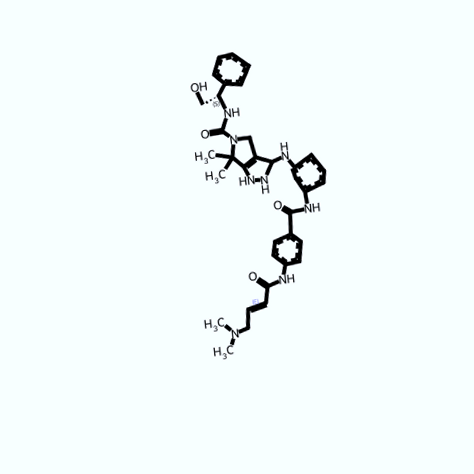 CN(C)C/C=C/C(=O)Nc1ccc(C(=O)Nc2cccc(NC3NNC4=C3CN(C(=O)N[C@H](CO)c3ccccc3)C4(C)C)c2)cc1